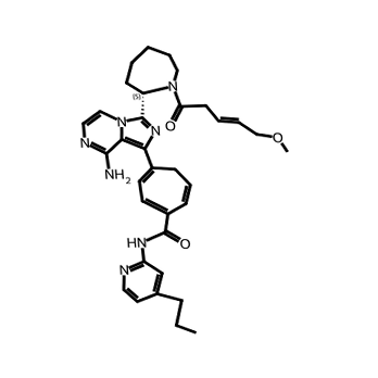 CCCc1ccnc(NC(=O)C2=CC=C(c3nc([C@@H]4CCCCCN4C(=O)CC=CCOC)n4ccnc(N)c34)CC=C2)c1